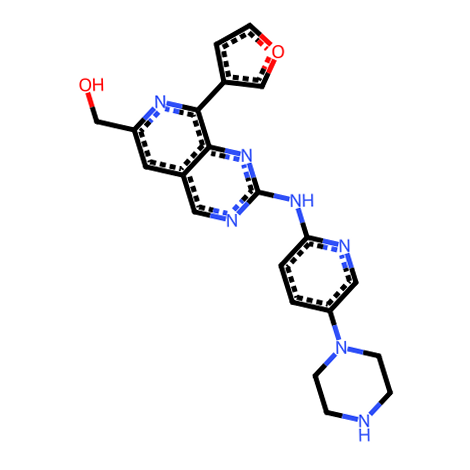 OCc1cc2cnc(Nc3ccc(N4CCNCC4)cn3)nc2c(-c2ccoc2)n1